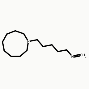 C=NCCCCCN1CCCCCCCC1